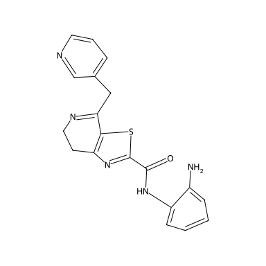 Nc1ccccc1NC(=O)c1nc2c(s1)C(Cc1cccnc1)=NCC2